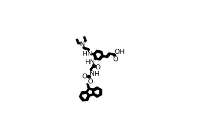 CCN(CC)CCNc1ccc(/C=C/C(=O)O)cc1NC(=O)CNC(=O)OCC1c2ccccc2-c2ccccc21